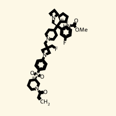 C=CC(=O)N1CCC[C@@H](S(=O)(=O)c2ccc(N3CC(CF)(CN4CCC([C@@](CN5CCC5)(c5cccc(F)c5)[C@H]5CCC[C@@H]5NC(=O)OC)CC4)C3)cc2)C1